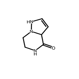 O=C1NCCN2NC=CC12